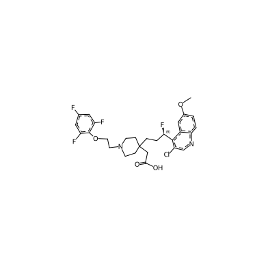 COc1ccc2ncc(Cl)c([C@H](F)CCC3(CC(=O)O)CCN(CCOc4c(F)cc(F)cc4F)CC3)c2c1